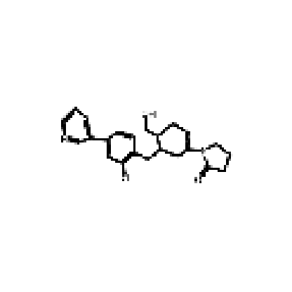 O=C1CCCN1C1CCC(CO)C(Cc2ccc(-c3cccnc3)cc2Cl)C1